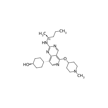 CCC[C@H](C)Nc1ncc2c(OC3CCN(C)CC3)ncc([C@H]3CC[C@H](O)CC3)c2n1